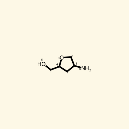 NC1COC(CO)C1